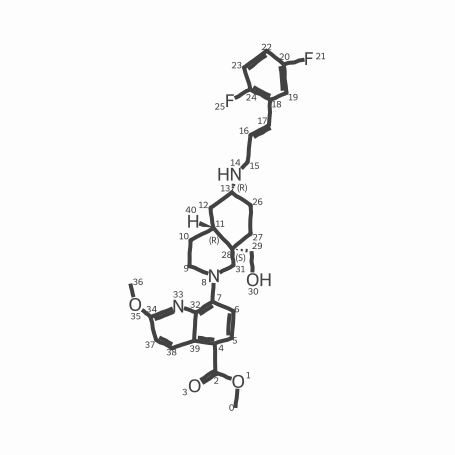 COC(=O)c1ccc(N2CC[C@@H]3C[C@H](NCC=Cc4cc(F)ccc4F)CC[C@@]3(CO)C2)c2nc(OC)ccc12